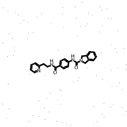 O=C(NCCc1ccccn1)c1ccc(NC(=O)N2Cc3ccccc3C2)cc1